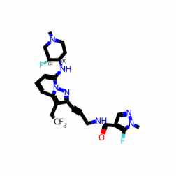 CN1CC[C@@H](Nc2cccc3c(CC(F)(F)F)c(C#CCNC(=O)c4cnn(C)c4F)nn23)[C@@H](F)C1